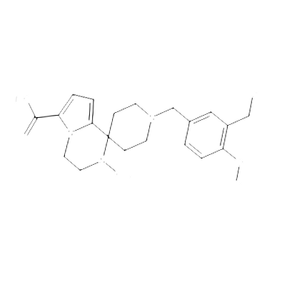 CC(C)Oc1ccc(CN2CCC3(CC2)c2ccc(C(=O)C(F)(F)F)n2CCN3C)cc1CO